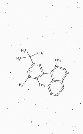 Cc1cc(C(C)(C)C)cc(-c2c3ccccc3nc[n+]2C)c1C